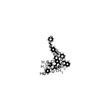 Cc1c(N(C(=O)c2cc(-c3cc4c(cc3C(=O)N3Cc5ccccc5C[C@H]3CN3CCCCC3)CN(C(=O)C(F)(F)c3ccc(OCCN5CCOCC5)cc3)CC4)n(C)c2C)c2ccc(O)cc2)cc(C#N)n1C